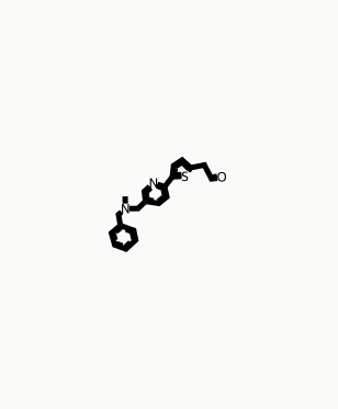 CN(Cc1ccccc1)Cc1ccc(-c2ccc(CC=O)s2)nc1